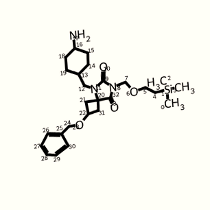 C[Si](C)(C)CCOCN1C(=O)N(CC2CCC(N)CC2)C2(CC(OCc3ccccc3)C2)C1=O